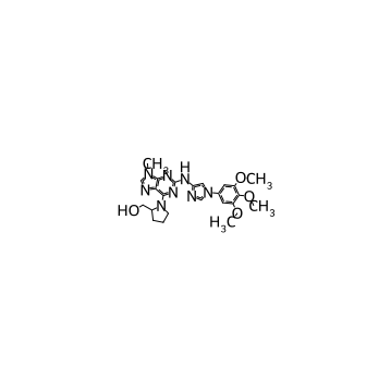 COc1cc(-n2cnc(Nc3nc(N4CCCC4CO)c4ncn(C)c4n3)c2)cc(OC)c1OC